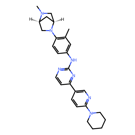 Cc1cc(Nc2nccc(-c3ccc(N4CCCCC4)nc3)n2)ccc1N1C[C@@H]2C[C@H]1CN2C